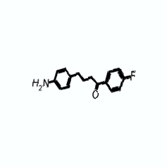 Nc1ccc(CCCC(=O)c2ccc(F)cc2)cc1